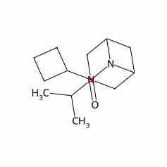 CC(C)N1CC2CC(C1)N2C(=O)C1CCC1